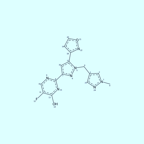 Cn1cc(Cn2nc(-c3ncc(F)c(O)n3)cc2-c2ccon2)cn1